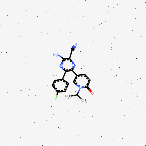 CC(C)n1cc(-c2nc(C#N)c(N)nc2-c2ccc(F)cc2)ccc1=O